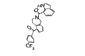 O=C(c1ccc(C(F)(F)F)cc1)c1cccc2c1CCN(C(=O)c1cccc3cc[nH]c13)C2